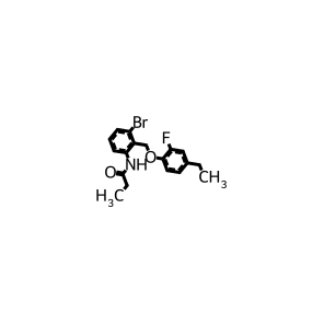 CCC(=O)Nc1cccc(Br)c1COc1ccc(CC)cc1F